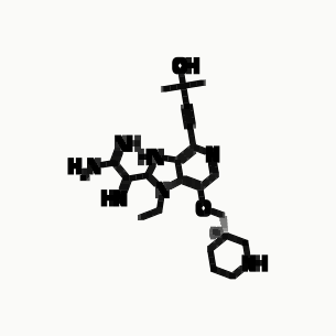 CCN1c2c(OC[C@H]3CCCNC3)cnc(C#CC(C)(C)O)c2NC1C(=N)C(=N)N